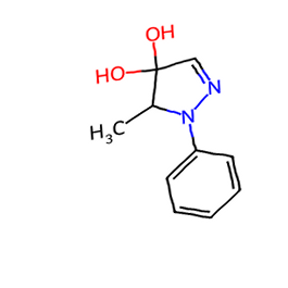 CC1N(c2ccccc2)N=CC1(O)O